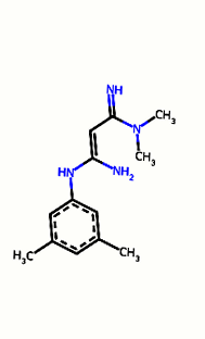 Cc1cc(C)cc(N/C(N)=C/C(=N)N(C)C)c1